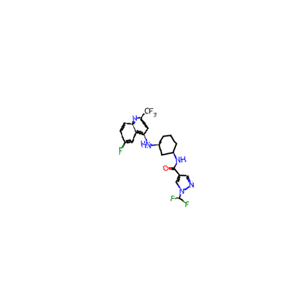 O=C(N[C@@H]1CCC[C@H](Nc2cc(C(F)(F)F)nc3ccc(F)cc23)C1)c1cnn(C(F)F)c1